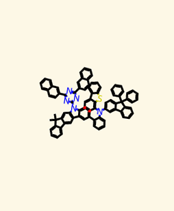 CC1(C)c2ccccc2-c2cc3c4cc(-c5ccccc5N(c5ccc6c(c5)-c5ccccc5C6(c5ccccc5)c5ccccc5)c5cccc6c5sc5ccccc56)ccc4n(-c4nc(-c5ccc6ccccc6c5)nc(-c5ccc6ccccc6c5)n4)c3cc21